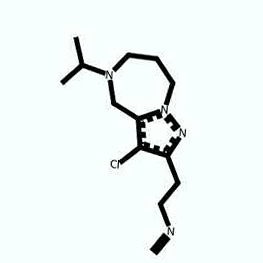 C=NCCc1nn2c(c1Cl)CN(C(C)C)CCC2